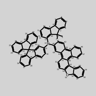 CC1(C)c2ccccc2-c2cccc(N(c3ccc4c(c3)C3(c5ccccc5-c5ccccc53)c3ccccc3-4)c3ccc4c5ccccc5c5c(ccc6oc7ccccc7c65)c4c3)c21